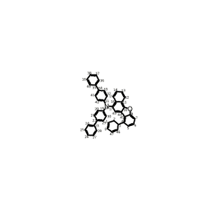 C1=CCC(c2cccc3oc4c5ccccc5c(N(c5ccc(-c6ccccc6)cc5)c5ccc(-c6ccccc6)cc5)cc4c23)C=C1